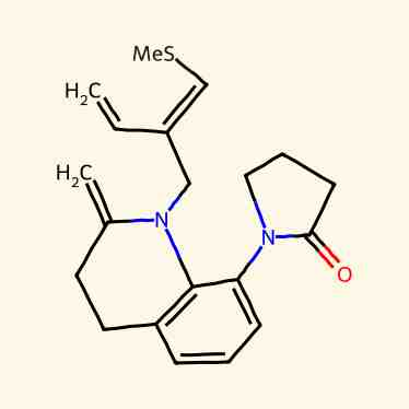 C=C/C(=C\SC)CN1C(=C)CCc2cccc(N3CCCC3=O)c21